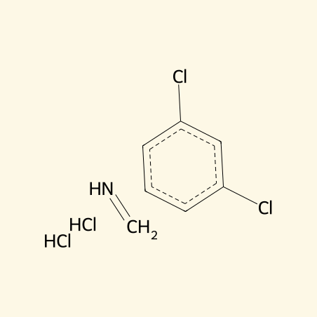 C=N.Cl.Cl.Clc1cccc(Cl)c1